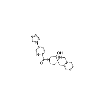 O=C(c1ccc(-n2cnnn2)cn1)N1CC[C@]2(Cc3ccccc3CN2)[C@H](O)C1